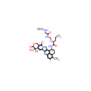 CC[C@@]1(O)C(=O)OCc2c1cc1n(c2=O)Cc2c-1nc1cc(F)c(C)c3c1c2[C@@H](NC(=O)C(CCC(F)(F)F)OCNC(=O)CNC=O)CC3